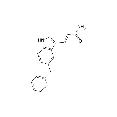 NC(=O)/C=C/c1c[nH]c2ncc(Cc3ccccc3)cc12